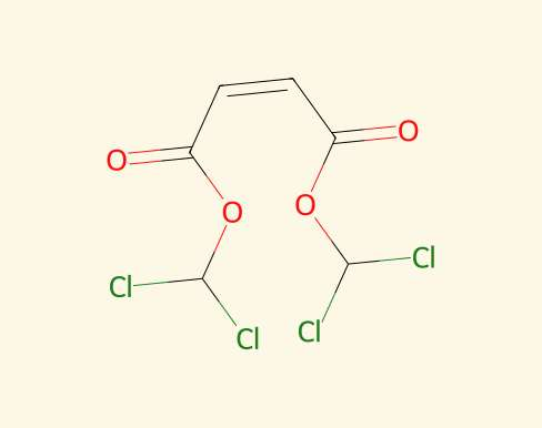 O=C(/C=C\C(=O)OC(Cl)Cl)OC(Cl)Cl